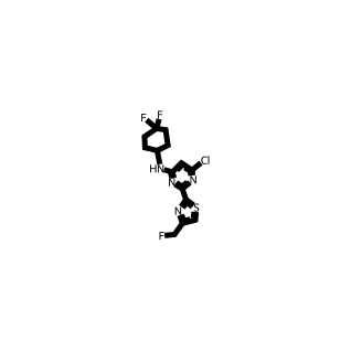 FCc1csc(-c2nc(Cl)cc(NC3CCC(F)(F)CC3)n2)n1